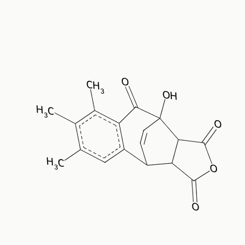 Cc1cc2c(c(C)c1C)C(=O)C1(O)C=CC2C2C(=O)OC(=O)C21